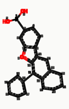 OB(O)c1ccc2c(c1)oc1c(-c3ccccc3)c3ccccc3cc12